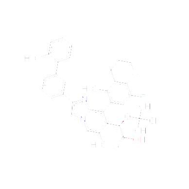 Cc1ccccc1-c1cccc(-c2cn3cc(C)c([C@@H](OC(C)(C)C)C(=O)O)c(-c4cc(F)c5c(c4C)CCCO5)c3n2)c1